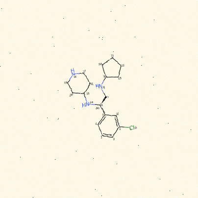 Clc1cccc([C@H](CNC2CCCC2)NC2CCNCC2)c1